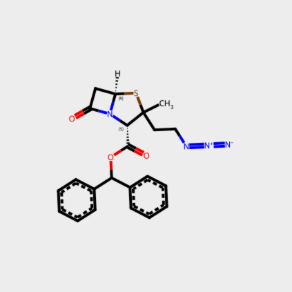 CC1(CCN=[N+]=[N-])S[C@@H]2CC(=O)N2[C@H]1C(=O)OC(c1ccccc1)c1ccccc1